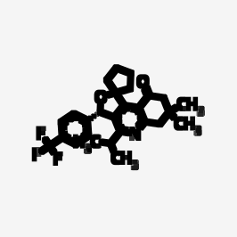 CC(C)c1nc2c(c3c1[C@H](c1ccc(C(F)(F)F)cc1)OC31CCCC1)C(=O)CC(C)(C)C2